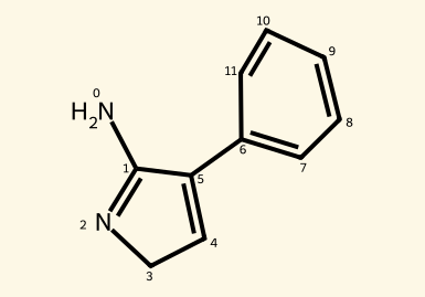 NC1=NCC=C1c1ccccc1